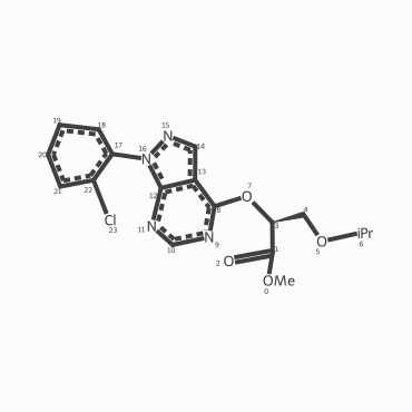 COC(=O)[C@H](COC(C)C)Oc1ncnc2c1cnn2-c1ccccc1Cl